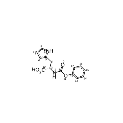 O=C(N[C@@H](Cc1cnc[nH]1)C(=O)O)Oc1ccccc1